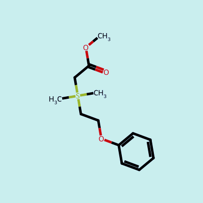 COC(=O)CS(C)(C)CCOc1ccccc1